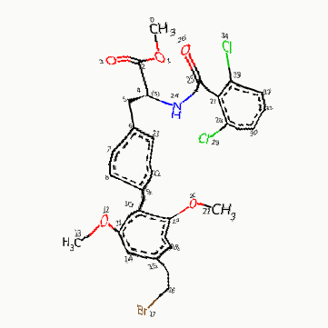 COC(=O)[C@H](Cc1ccc(-c2c(OC)cc(CBr)cc2OC)cc1)NC(=O)c1c(Cl)cccc1Cl